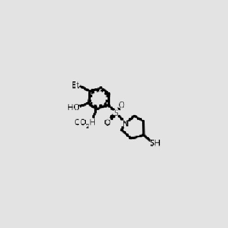 CCc1ccc(S(=O)(=O)N2CCC(S)CC2)c(C(=O)O)c1O